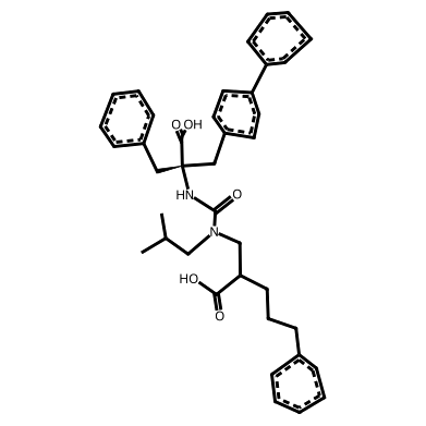 CC(C)CN(CC(CCCc1ccccc1)C(=O)O)C(=O)N[C@@](Cc1ccccc1)(Cc1ccc(-c2ccccc2)cc1)C(=O)O